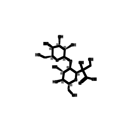 O=C(O)C(O)(CO)[C@H]1O[C@H](CO)[C@@H](O)[C@H](O)[C@H]1O[C@H]1O[C@H](CO)[C@@H](O)[C@H](O)[C@@H]1O